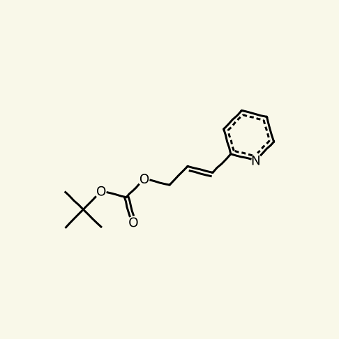 CC(C)(C)OC(=O)OCC=Cc1ccccn1